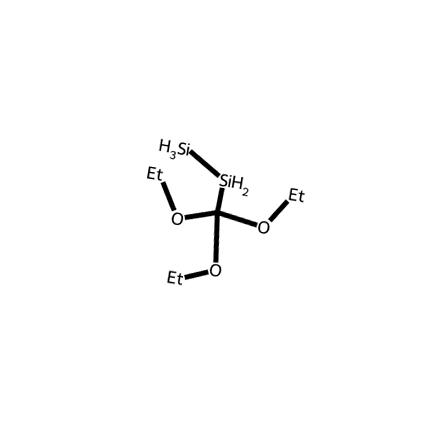 CCOC(OCC)(OCC)[SiH2][SiH3]